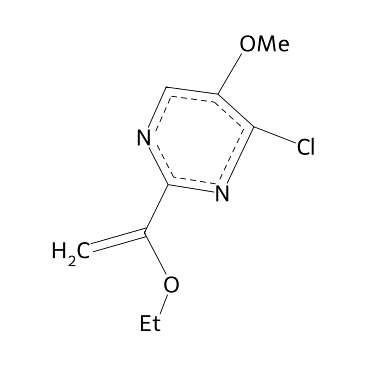 C=C(OCC)c1ncc(OC)c(Cl)n1